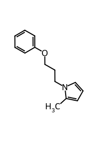 Cc1cccn1CCCOc1ccccc1